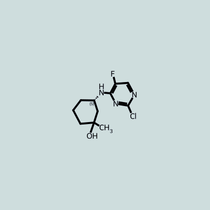 CC1(O)CCC[C@H](Nc2nc(Cl)ncc2F)C1